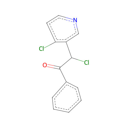 O=C(c1ccccc1)C(Cl)c1cnccc1Cl